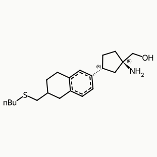 CCCCSCC1CCc2cc([C@@H]3CC[C@](N)(CO)C3)ccc2C1